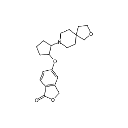 O=C1OCc2cc(OC3CCCC3N3CCC4(CCOC4)CC3)ccc21